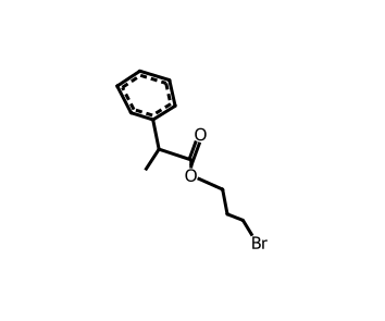 CC(C(=O)OCCCBr)c1ccccc1